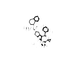 Cc1nnc2n1-c1sc3c(c1C(c1ccccc1Cl)=NC21CC1)C[C@H](C(O)N(C)[C@H]1c2ccccc2CC[C@@H]1O)C3